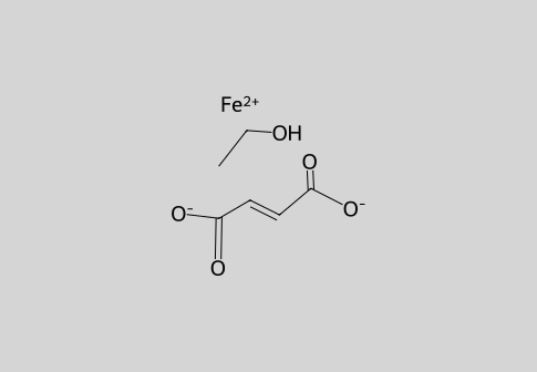 CCO.O=C([O-])/C=C/C(=O)[O-].[Fe+2]